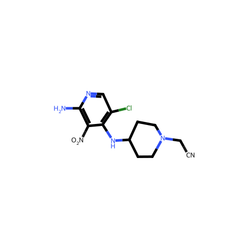 N#CCN1CCC(Nc2c(Cl)cnc(N)c2[N+](=O)[O-])CC1